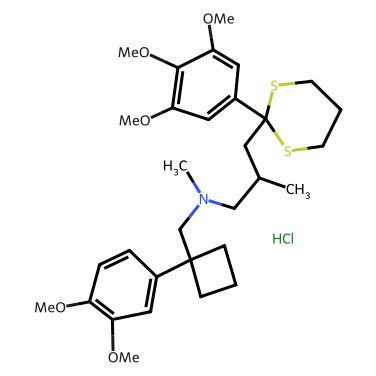 COc1ccc(C2(CN(C)CC(C)CC3(c4cc(OC)c(OC)c(OC)c4)SCCCS3)CCC2)cc1OC.Cl